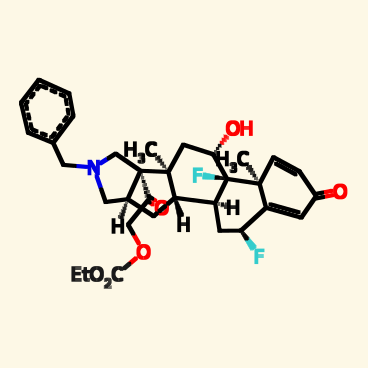 CCOC(=O)OCC(=O)[C@@]12CN(Cc3ccccc3)C[C@@H]1C[C@H]1[C@@H]3C[C@H](F)C4=CC(=O)C=C[C@]4(C)[C@@]3(F)[C@@H](O)C[C@@]12C